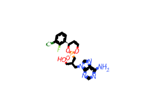 Nc1ncnc2c1ncn2CC(CO)CP1(=O)OCC[C@@H](c2cccc(Cl)c2F)O1